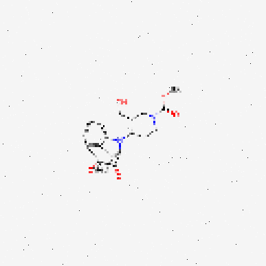 COc1c2n(C3CCN(C(=O)OC(C)(C)C)CC3CO)c3cccc(c13)C(=O)C2=O